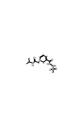 CC(C)NC(=O)CN1C=CC=C(C(=O)NNS(C)(=O)=O)C1